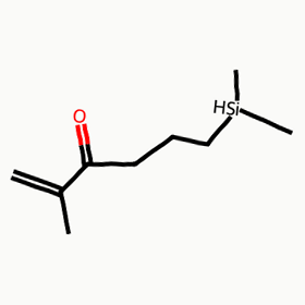 C=C(C)C(=O)CCC[SiH](C)C